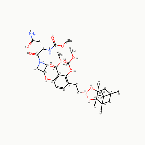 CC(C)(C)OC(=O)N[C@@H](CC(N)=O)C(=O)N1CC(Oc2ccc(CCB3O[C@@H]4C[C@@H]5C[C@@H](C5(C)C)[C@]4(C)O3)c(OC(=O)OC(C)(C)C)c2C(=O)OC(C)(C)C)C1